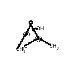 CCCCCCCCCCCOC(=O)CCCCCN(CCN(CCO)CCCCCCP(=O)(OCCCCCCCCC)OCCCCCCCCC)C1CCCCC1